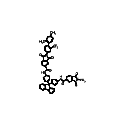 Cc1ccc(-c2ccc(N3C(=O)c4ccc(C(=O)Nc5ccc(C6(c7ccc(NC(=O)c8ccc9c(c8)C(=O)N(C)C9=O)cc7)c7ccccc7-c7ccccc76)cc5)cc4C3=O)cc2C(F)(F)F)c(C)c1